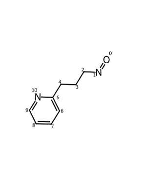 O=NCCCc1ccccn1